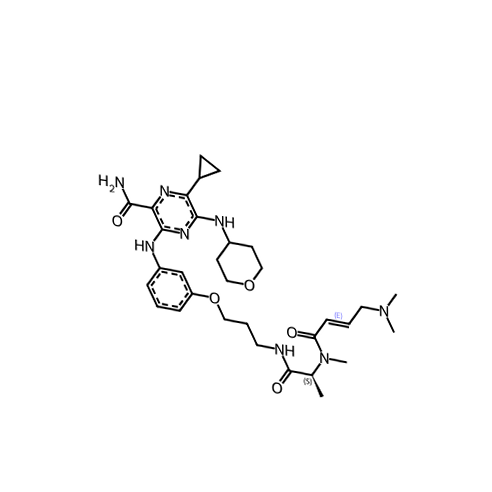 C[C@@H](C(=O)NCCCOc1cccc(Nc2nc(NC3CCOCC3)c(C3CC3)nc2C(N)=O)c1)N(C)C(=O)/C=C/CN(C)C